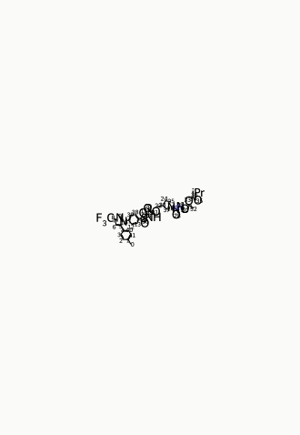 Cc1ccc(-c2cc(C(F)(F)F)nn2-c2ccc(S(=O)(=O)NC(=O)OCC3CCN(/[N+]([O-])=N/OC(C)OC(=O)C(C)C)C3)cc2)cc1